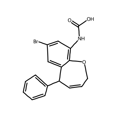 O=C(O)Nc1cc(Br)cc2c1OCC=CC2c1ccccc1